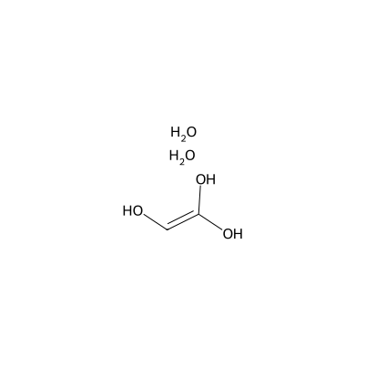 O.O.OC=C(O)O